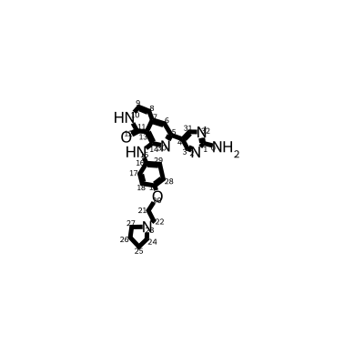 Nc1ncc(-c2cc3cc[nH]c(=O)c3c(Nc3ccc(OCCN4CCCC4)cc3)n2)cn1